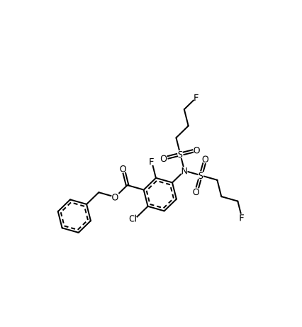 O=C(OCc1ccccc1)c1c(Cl)ccc(N(S(=O)(=O)CCCF)S(=O)(=O)CCCF)c1F